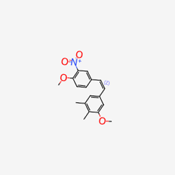 COc1ccc(/C=C\c2cc(C)c(C)c(OC)c2)cc1[N+](=O)[O-]